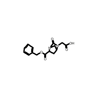 O=C(O)CN1C(=O)N2CC1CC2C(=O)OCc1ccccc1